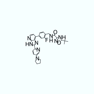 CC(C)(C)C1NC(C(=O)NCc2ccc(-c3ccnc4[nH]c(-c5ccc(N6CCCC6)cn5)nc34)cc2F)=NO1